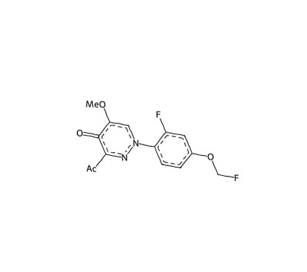 COc1cn(-c2ccc(OCF)cc2F)nc(C(C)=O)c1=O